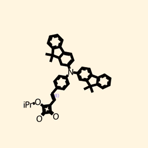 CC(C)Oc1c(/C=C/c2ccc(N(C3=CC=C4c5ccccc5C(C)(C)C4C3)c3ccc4c(c3)C(C)(C)c3ccccc3-4)cc2)c(=O)c1=O